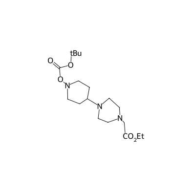 CCOC(=O)CN1CCN(C2CCN(OC(=O)OC(C)(C)C)CC2)CC1